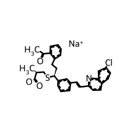 CC(=O)c1ccccc1CC[C@H](SC[C@@H](C)C(=O)[O-])c1cccc(C=Cc2ccc3ccc(Cl)cc3n2)c1.[Na+]